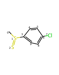 CS(=S)c1ccc(Cl)cc1